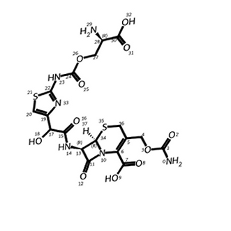 NC(=O)OCC1=C(C(=O)O)N2C(=O)[C@@H](NC(=O)C(O)c3csc(NC(=O)OC[C@@H](N)C(=O)O)n3)[C@H]2SC1